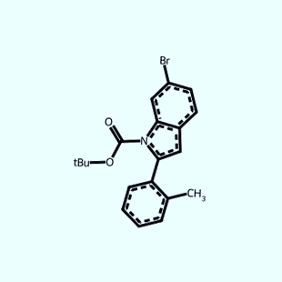 Cc1ccccc1-c1cc2ccc(Br)cc2n1C(=O)OC(C)(C)C